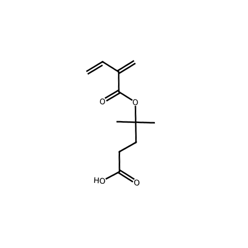 C=CC(=C)C(=O)OC(C)(C)CCC(=O)O